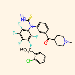 CN1CCC(C(=O)c2cccc(N(C(N)=S)c3c(F)c(F)c(F)c(F)c3F)c2)CC1.O=C(O)c1ccccc1Cl